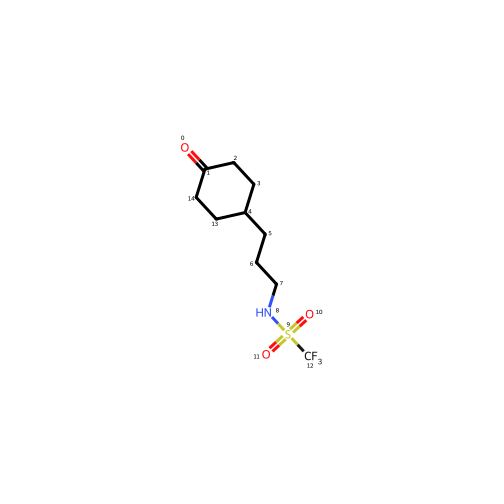 O=C1CCC(CCCNS(=O)(=O)C(F)(F)F)CC1